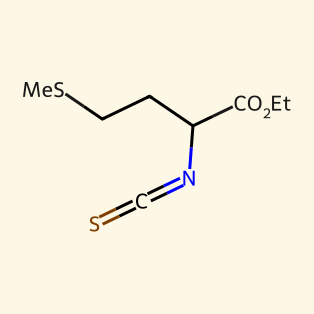 CCOC(=O)C(CCSC)N=C=S